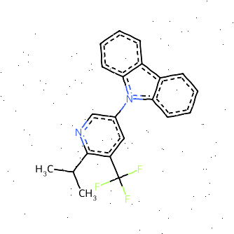 CC(C)c1ncc(-n2c3ccccc3c3ccccc32)cc1C(F)(F)F